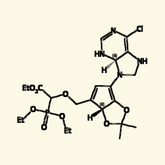 CCOC(=O)C(OCC1=CC(N2CNC3=C(Cl)N=CN[C@@H]32)=C2OC(C)(C)O[C@H]12)P(=O)(OCC)OCC